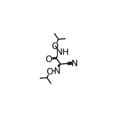 CC(C)ON=C(C#N)C(=O)NOC(C)C